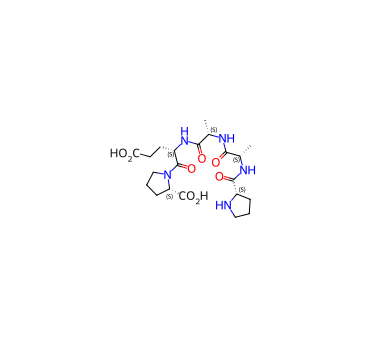 C[C@H](NC(=O)[C@H](C)NC(=O)[C@@H]1CCCN1)C(=O)N[C@@H](CCC(=O)O)C(=O)N1CCC[C@H]1C(=O)O